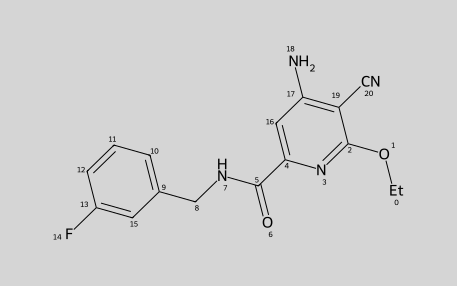 CCOc1nc(C(=O)NCc2cccc(F)c2)cc(N)c1C#N